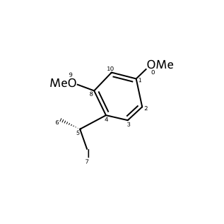 COc1ccc([C@@H](C)I)c(OC)c1